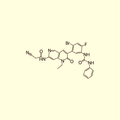 CCn1c(=O)c(-c2cc(NC(=O)Nc3ccccc3)c(F)cc2Br)cc2cnc(NC(=O)CC#N)cc21